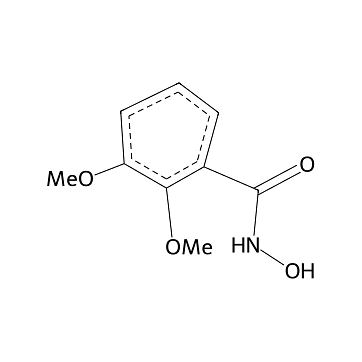 COc1cccc(C(=O)NO)c1OC